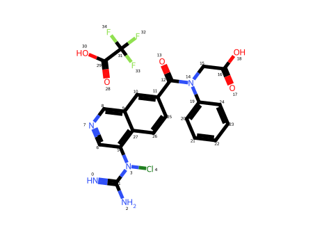 N=C(N)N(Cl)c1cncc2cc(C(=O)N(CC(=O)O)c3ccccc3)ccc12.O=C(O)C(F)(F)F